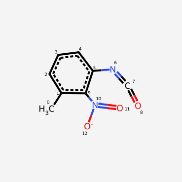 Cc1cccc(N=C=O)c1[N+](=O)[O-]